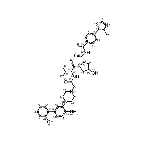 Cc1ncsc1-c1ccc([C@H](C)NC(=O)[C@@H]2C[C@@H](O)CN2C(=O)[C@@H](NC(=O)CN2CCN(c3cc(-c4ccccc4O)nnc3N)CC2)C(C)C)cc1